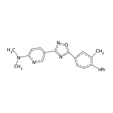 CCCc1ccc(-c2nc(-c3ccc(N(C)C)nc3)no2)cc1C